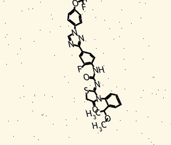 COC(C)c1ccccc1N1C(=O)CSC1=NC(=O)Nc1ccc(-c2ncn(-c3ccc(OC(F)(F)F)cc3)n2)cc1F